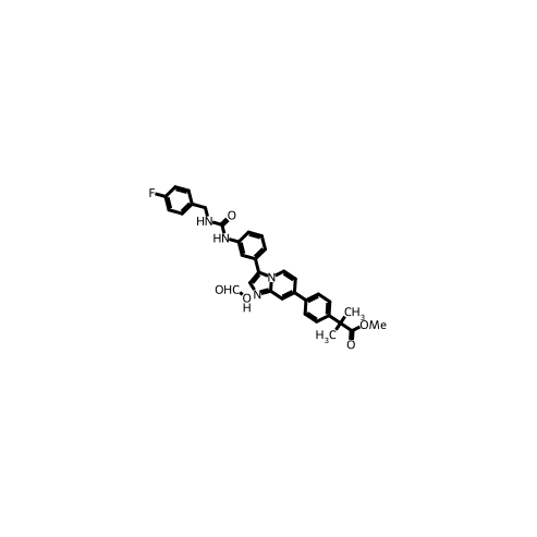 COC(=O)C(C)(C)c1ccc(-c2ccn3c(-c4cccc(NC(=O)NCc5ccc(F)cc5)c4)cnc3c2)cc1.O=CO